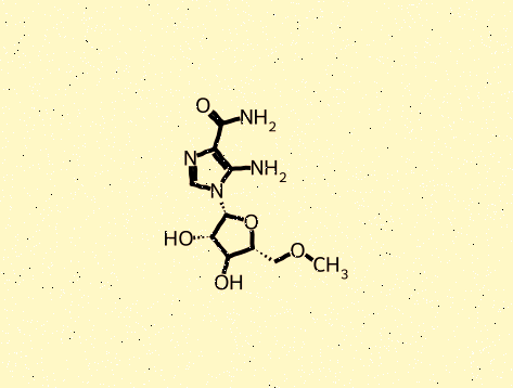 COC[C@H]1O[C@@H](n2cnc(C(N)=O)c2N)[C@@H](O)C1O